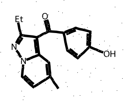 CCc1nn2ccc(C)cc2c1C(=O)c1ccc(O)cc1